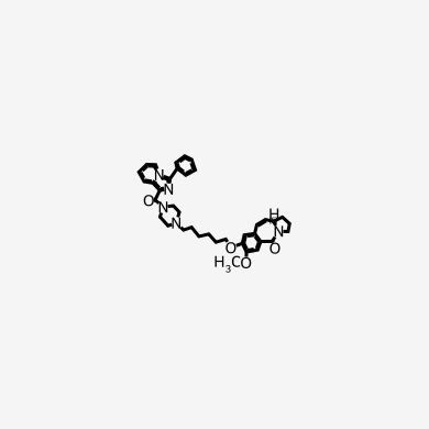 COc1cc2c(cc1OCCCCCCN1CCN(C(=O)c3nc(-c4ccccc4)n4ccccc34)CC1)C=C[C@@H]1CCCN1C2=O